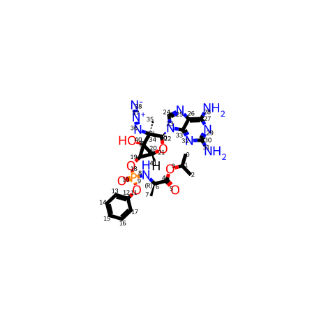 CC(C)OC(=O)[C@@H](C)NP(=O)(Oc1ccccc1)OC1[C@H]2O[C@@H](n3cnc4c(N)nc(N)nc43)[C@](C)(N=[N+]=[N-])[C@@]12O